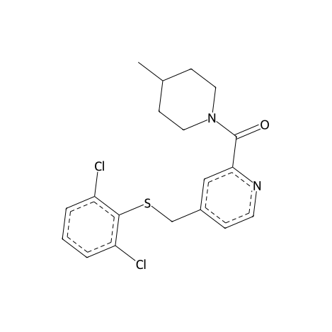 CC1CCN(C(=O)c2cc(CSc3c(Cl)cccc3Cl)ccn2)CC1